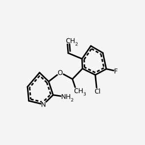 C=Cc1ccc(F)c(Cl)c1C(C)Oc1cccnc1N